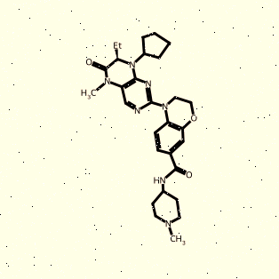 CC[C@@H]1C(=O)N(C)c2cnc(N3CCOc4cc(C(=O)NC5CCN(C)CC5)ccc43)nc2N1C1CCCC1